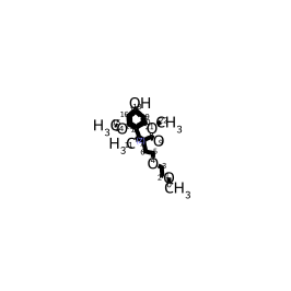 COCCOCC/C(C=O)=C(\C)c1c(OC)cc(O)cc1OC